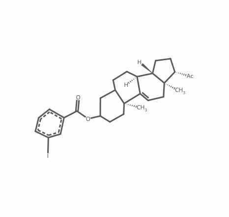 CC(=O)[C@H]1CC[C@H]2[C@@H]3CCC4CC(OC(=O)c5cccc(I)c5)CC[C@]4(C)C3=CC[C@]12C